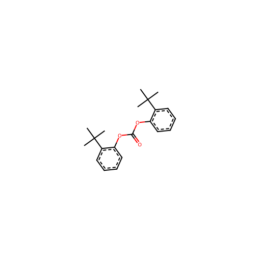 CC(C)(C)c1ccccc1OC(=O)Oc1ccccc1C(C)(C)C